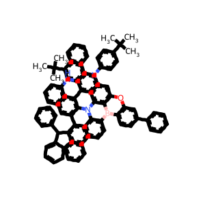 CC(C)(C)c1ccc(N(c2ccc(C(C)(C)C)cc2)c2cc3c4c(c2)N(c2c(-c5cccc(-c6ccccc6)c5Nc5ccccc5)cccc2-c2cccc5c2C(c2ccccc2)C2=CC=CCC25)c2cc(-c5ccccc5)ccc2B4c2ccc(-c4ccccc4)cc2O3)cc1